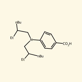 CCCCC(CC)CN(CC(CC)CCCC)c1ccc(C(=O)O)cc1